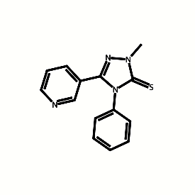 Cn1nc(-c2cccnc2)n(-c2ccccc2)c1=S